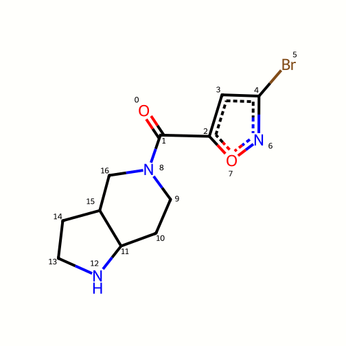 O=C(c1cc(Br)no1)N1CCC2NCCC2C1